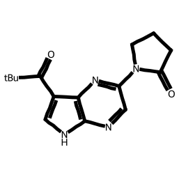 CC(C)(C)C(=O)c1c[nH]c2ncc(N3CCCC3=O)nc12